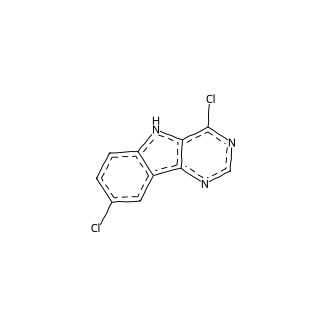 Clc1ccc2[nH]c3c(Cl)ncnc3c2c1